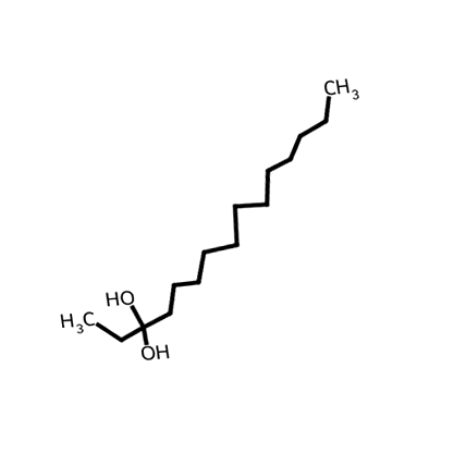 CCCCCCCCCCCCC(O)(O)CC